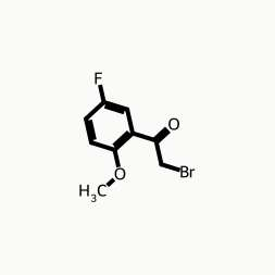 COc1ccc(F)cc1C(=O)CBr